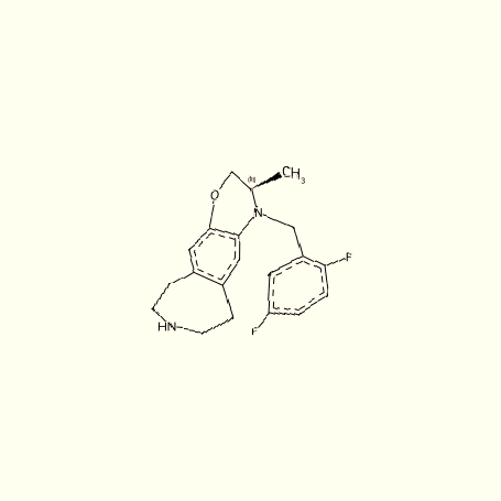 C[C@@H]1COc2cc3c(cc2N1Cc1cc(F)ccc1F)CCNCC3